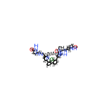 COc1nc(-c2cccc(-c3cccc(-c4cc5c(=O)n(C)c(CNC6CC7(CCC(=O)N7)C6)nn5c4)c3Cl)c2Cl)ccc1CNC[C@@H]1CCC(=O)N1